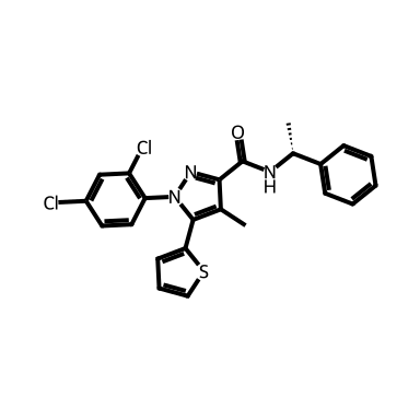 Cc1c(C(=O)N[C@H](C)c2ccccc2)nn(-c2ccc(Cl)cc2Cl)c1-c1cccs1